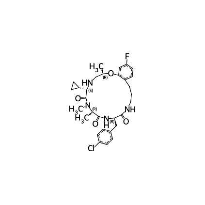 C[C@@H]1CN[C@@H](C2CC2)C(=O)N(C)[C@H](C)C(=O)N[C@H](Cc2ccc(Cl)cc2)C(=O)NCCCc2ccc(F)cc2O1